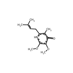 COc1[nH]c(CC=C(C)C)c(C)c(=O)c1OC